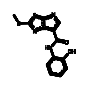 CSc1nn2c(C(=O)Nc3ccccc3O)cnc2s1